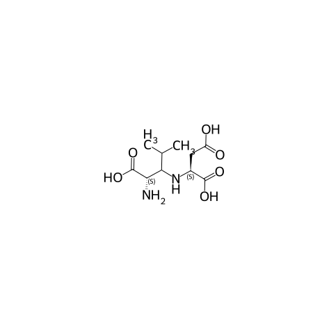 CC(C)C(N[C@@H](CC(=O)O)C(=O)O)[C@H](N)C(=O)O